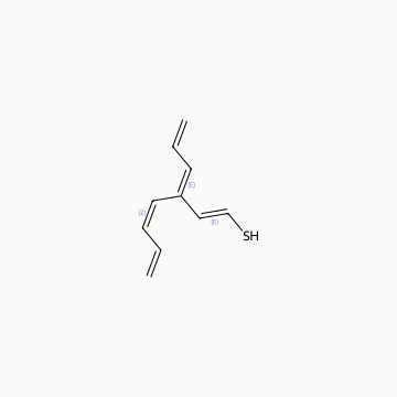 C=C\C=C/C(/C=C/S)=C\C=C